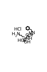 Cl.NCCCC[C@H](NC(=O)Cn1cnc(Cc2ccccc2)n1)B(O)O